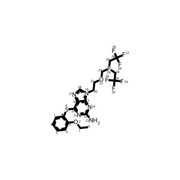 CCOc1ccccc1Sc1nc(N)nc2c1ncn2CCOCP(CC(F)(F)F)CC(F)(F)F